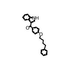 O=C(c1ccc(OCCCCc2ccccc2)cc1)c1c[nH]c2ccccc12